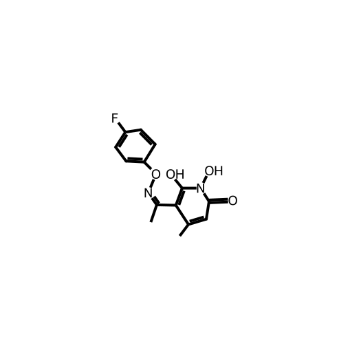 CC(=NOc1ccc(F)cc1)c1c(C)cc(=O)n(O)c1O